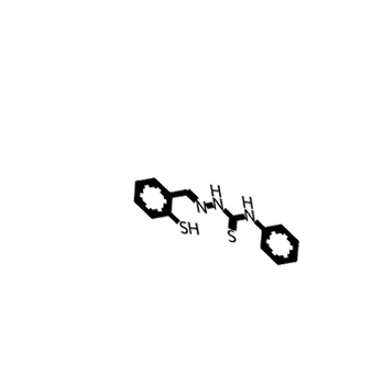 S=C(N/N=C/c1ccccc1S)Nc1ccccc1